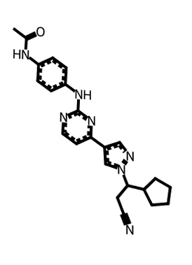 CC(=O)Nc1ccc(Nc2nccc(-c3cnn(C(CC#N)C4CCCC4)c3)n2)cc1